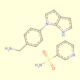 NCc1ccc(-n2ccc3cc[nH]c32)cc1.NS(=O)(=O)c1cccnc1